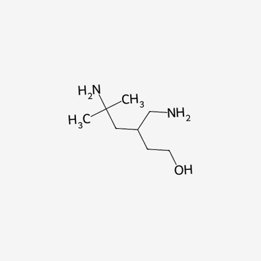 CC(C)(N)CC(CN)CCO